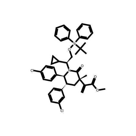 C=C(C(=O)OC)[C@]1(C)C[C@H](c2cccc(Cl)c2)[C@@H](c2ccc(Cl)cc2)N([C@H](CO[Si](c2ccccc2)(c2ccccc2)C(C)(C)C)C2CC2)C1=O